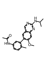 COc1cc2nc(NC(C)C)ncc2cc1-c1cc(NC(C)=O)ccc1C